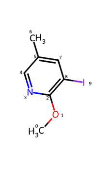 COc1ncc(C)cc1I